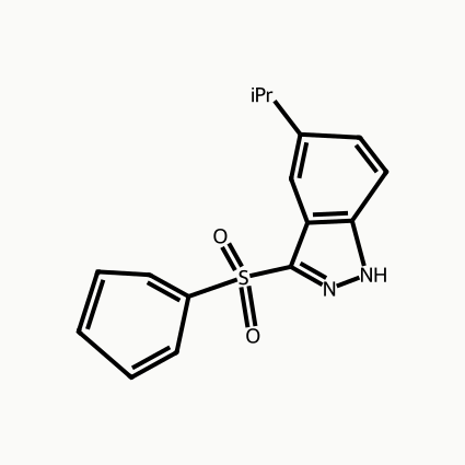 [CH2]C(C)c1ccc2[nH]nc(S(=O)(=O)c3ccccc3)c2c1